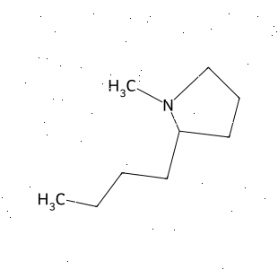 CCCCC1CCCN1C